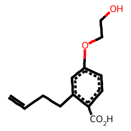 C=CCCc1cc(OCCO)ccc1C(=O)O